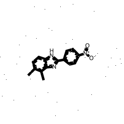 Cc1ccc2[nH]c(-c3ccc([N+](=O)[O-])cc3)nc2c1C